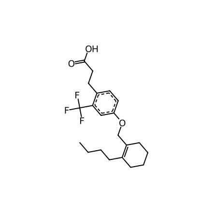 CCCCC1=C(COc2ccc(CCC(=O)O)c(C(F)(F)F)c2)CCCC1